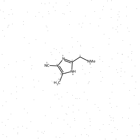 CNCc1nc(C#N)c(C)[nH]1